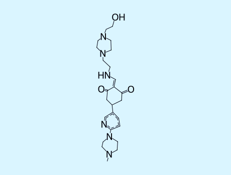 CN1CCN(c2ccc(C3CC(=O)C(=CNCCN4CCN(CCO)CC4)C(=O)C3)cn2)CC1